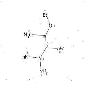 CCCC(C(C)OCC)N(N)CCC